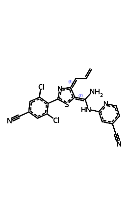 C=C/C=c1/nc(-c2c(Cl)cc(C#N)cc2Cl)s/c1=C(/N)Nc1cc(C#N)ccn1